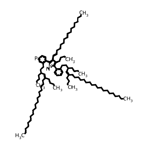 CCCCCCCCCCCCCCCC=CC1=C(c2ccccc2CCC(C=C(CCCC)CCCCCCCCCCCCCCCCCCC)CCCC)[N+](=[N-])C(c2ccccc2CCC(C=C(CCCC)CCCCCCCCCCCCCCCCCCC)CCCC)=C1CCCC.[Pd]